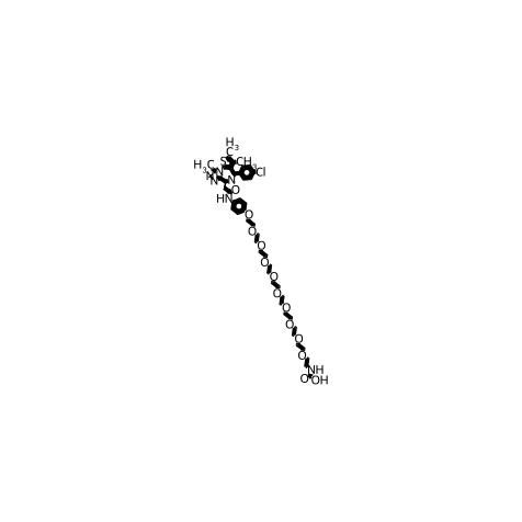 Cc1sc2c(c1C)C(c1ccc(Cl)cc1)=N[C@@H](CC(=O)Nc1ccc(OCCOCCOCCOCCOCCOCCOCCOCCOCCOCCNC(=O)O)cc1)c1nnc(C)n1-2